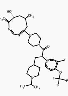 C=C1/N=C\N=C(\N2CCN(C(=O)[C@H](CN3CCN(C(C)C)CC3)c3ccc(OC(F)(F)F)c(F)c3)CC2)C[C@H](C)C[C@H]1O